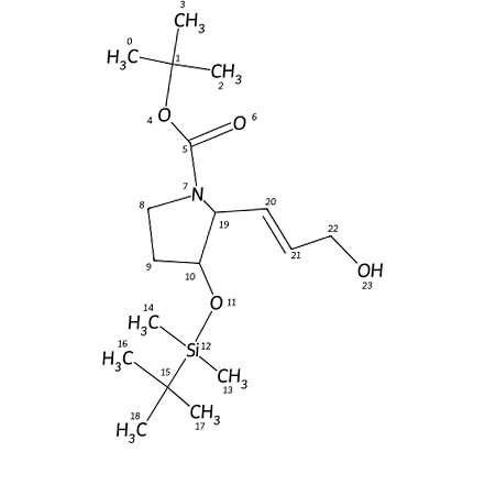 CC(C)(C)OC(=O)N1CCC(O[Si](C)(C)C(C)(C)C)C1/C=C/CO